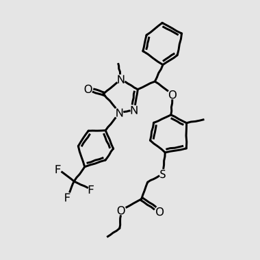 CCOC(=O)CSc1ccc(OC(c2ccccc2)c2nn(-c3ccc(C(F)(F)F)cc3)c(=O)n2C)c(C)c1